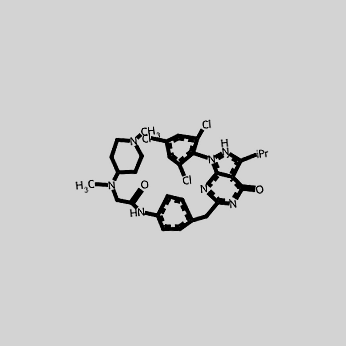 CC(C)c1[nH]n(-c2c(Cl)cc(Cl)cc2Cl)c2nc(Cc3ccc(NC(=O)CN(C)C4CCN(C)CC4)cc3)nc(=O)c1-2